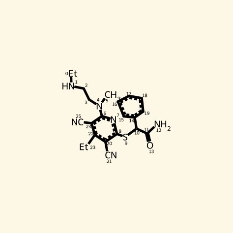 CCNCCN(C)c1nc(SC(C(N)=O)c2ccccc2)c(C#N)c(CC)c1C#N